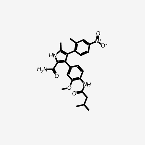 COc1cc(-c2c(C(N)=O)[nH]c(C)c2-c2ccc([N+](=O)[O-])cc2C)ccc1NC(=O)CC(C)C